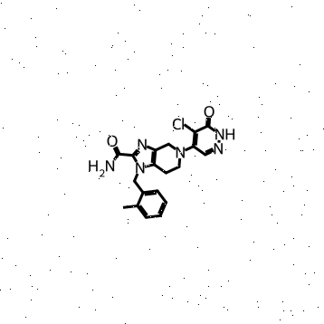 Cc1ccccc1Cn1c(C(N)=O)nc2c1CCN(c1cn[nH]c(=O)c1Cl)C2